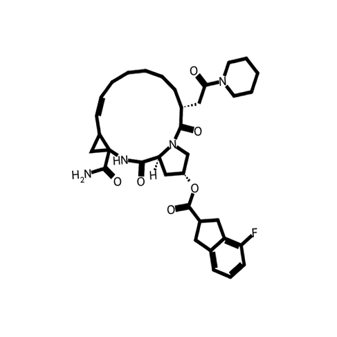 NC(=O)C12CC1/C=C\CCCCC[C@H](CC(=O)N1CCCCC1)C(=O)N1C[C@H](OC(=O)C3Cc4cccc(F)c4C3)C[C@H]1C(=O)N2